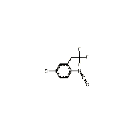 O=C=Nc1ccc(Cl)cc1CC(F)(F)F